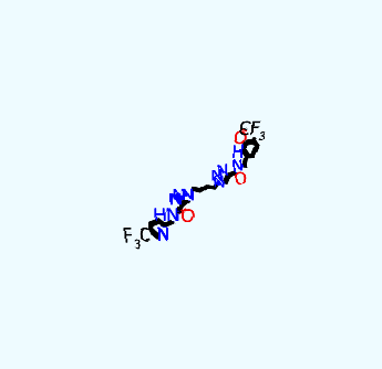 O=C(NCc1cccc(OC(F)(F)F)c1)c1cn(CCCCn2cc(C(=O)NCc3ccc(C(F)(F)F)cn3)nn2)nn1